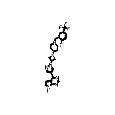 FC(F)(F)c1ccc(Cl)c(CN2CCC(N3C[C](n4cc(-c5ncnc6[nH]ccc56)cn4)C3)CC2)c1